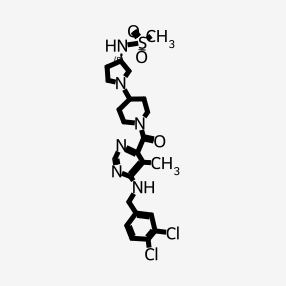 Cc1c(NCc2ccc(Cl)c(Cl)c2)ncnc1C(=O)N1CCC(N2CC[C@H](NS(C)(=O)=O)C2)CC1